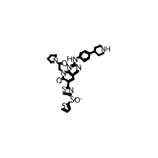 O=C(Cn1c(=O)c(-c2nc([S+]([O-])c3cccs3)cs2)cc2cnc(Nc3ccc(C4CCNCC4)cc3)nc21)N1CCCC1